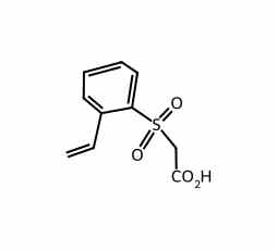 C=Cc1ccccc1S(=O)(=O)CC(=O)O